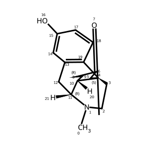 CN1CC[C@]23CC(=O)CC[C@H]2[C@H]1Cc1cc(O)ccc13